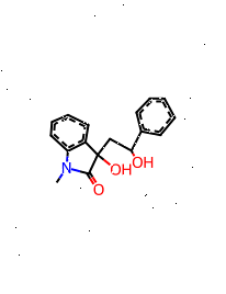 CN1C(=O)C(O)(CC(O)c2ccccc2)c2ccccc21